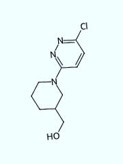 OCC1CCCN(c2ccc(Cl)nn2)C1